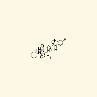 CN1C(=O)c2cc(C(=O)Nc3ccc(F)cc3F)nn2CC1(C)C(=O)NC1CCCCCC1